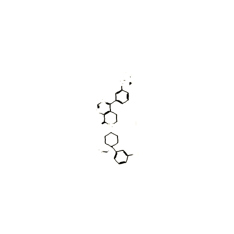 CS(=O)(=O)Nc1cccc(-c2ncnc3c2CCN([C@H]2CC[C@@](CN)(c4cccc(Cl)c4)CC2)C3=O)c1.Cl